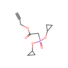 C#CCOC(=O)CP(=O)(OC1CC1)OC1CC1